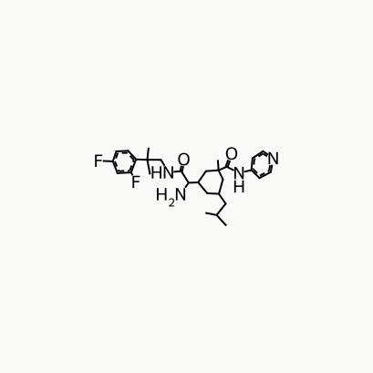 CC(C)CC1CC(C(N)C(=O)NCC(C)(C)c2ccc(F)cc2F)CC(C)(C(=O)Nc2ccncc2)C1